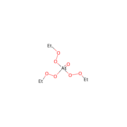 CCOO[As](=O)(OOCC)OOCC